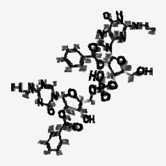 Nc1ncn([C@@H]2O[C@H](COP(=O)(O)O[C@@H]3[C@H](OC(=O)c4ccccc4)[C@H](n4cnc5c(=O)[nH]c(N)nc54)O[C@@H]3CO)[C@H](O)C2OC(=O)c2ccccc2)c(=O)n1